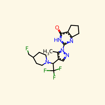 Cc1c(C(N2CCC(CF)CC2)C(F)(F)F)cnn1-c1nc2c(c(=O)[nH]1)CCC2